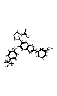 CC(=O)N1CCCC1c1cc2[nH]c(-c3cccc(O)n3)nc2cc1Oc1ccc(S(C)(=O)=O)cc1